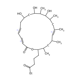 CCC(=O)CCCC1OC(=O)/C=C/C=C/CC(O)CC(O)C(C)C(O)C(C)C/C(C)=C/C(C)CC1C